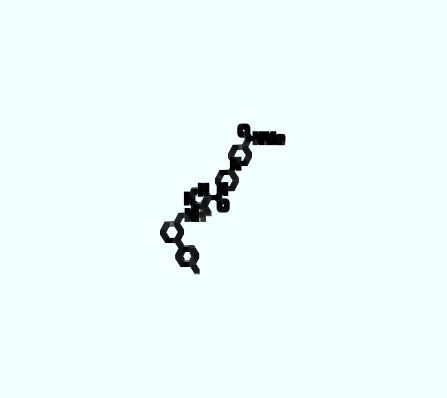 CNC(=O)C1CCN(C2CCN(C(=O)c3ncnc(NCC4CCCC(c5ccc(C)cc5)C4)c3C)CC2)CC1